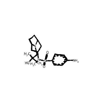 CN(C1CC2CCC(C1)N2CC(C)(C)O)S(=O)(=O)c1ccc(N)cc1